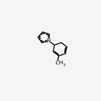 CC1=CC(n2cccc2)CC=C1